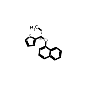 CC[C@H](Oc1cccc2ccccc12)c1cccs1